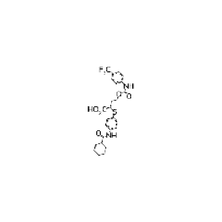 O=C(Nc1ccc(C(F)(F)F)cc1)OCCC(Sc1ccc(NC(=O)C2CCCCC2)cc1)C(=O)O